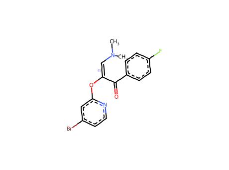 CN(C)/C=C(/Oc1cc(Br)ccn1)C(=O)c1ccc(F)cc1